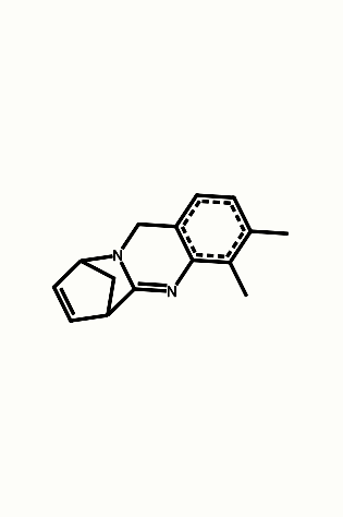 Cc1ccc2c(c1C)N=C1C3C=CC(C3)N1C2